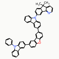 CC1(C)c2ccc(-n3c4ccccc4c4cc(-c5ccc6oc7ccc(-c8ccc9c(c8)c8ccccc8n9-c8ccccc8)cc7c6c5)ccc43)cc2-c2ncccc21